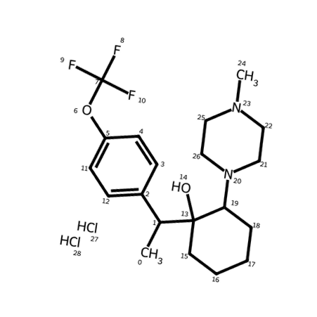 CC(c1ccc(OC(F)(F)F)cc1)C1(O)CCCCC1N1CCN(C)CC1.Cl.Cl